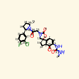 CNC(=O)NC1=CC=C2C(CC[C@]23CN(CC(=O)N2[C@@H](c4ccc(F)c(Cl)c4)CC[C@@H]2C)C(=O)O3)C1=O